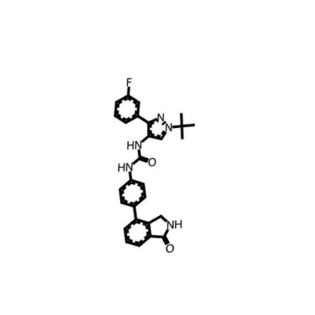 CC(C)(C)n1cc(NC(=O)Nc2ccc(-c3cccc4c3CNC4=O)cc2)c(-c2cccc(F)c2)n1